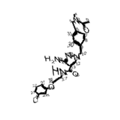 CC(=O)N(C)Cc1ccc(Cn2cc(C(=O)NCCOc3cccc(Cl)c3)c(N)n2)cc1